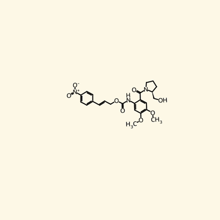 COc1cc(NC(=O)OC/C=C/c2ccc([N+](=O)[O-])cc2)c(C(=O)N2CCC[C@H]2CO)cc1OC